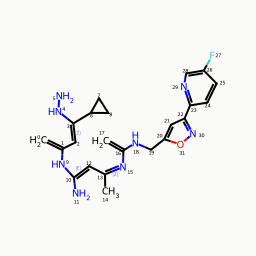 C=C(/C=C(\NN)C1CC1)N/C(N)=C/C(C)=N\C(=C)NCc1cc(-c2ccc(F)cn2)no1